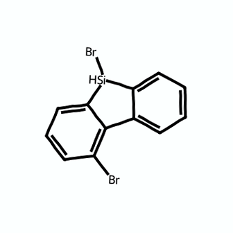 Brc1cccc2c1-c1ccccc1[SiH]2Br